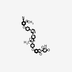 COc1cc(OC2CCC(N3C=C(N4CCC(CN(C(C)C)C5CCC(Oc6ccc7c(c6)CN(C6CCC(=O)NC6=O)C7=O)CC5)CC4)N=CC3)CC2)ccc1C#N